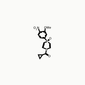 COc1cc(P2(=O)C=CN(C(=O)C3CC3)C=C2)ccc1[N+](=O)[O-]